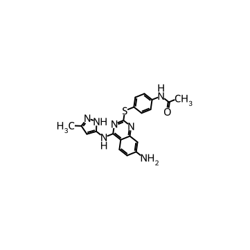 CC(=O)Nc1ccc(Sc2nc(Nc3cc(C)n[nH]3)c3ccc(N)cc3n2)cc1